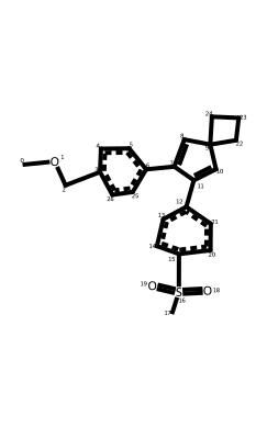 COCc1ccc(C2=CC3(C=C2c2ccc(S(C)(=O)=O)cc2)CCC3)cc1